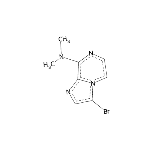 CN(C)c1nccn2c(Br)cnc12